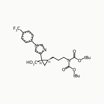 CC(C)(C)OC(=O)N(CCC[C@H]1C[C@]1(C(=O)O)c1cn(-c2ccc(C(F)(F)F)cc2)cn1)C(=O)OC(C)(C)C